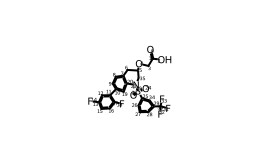 O=C(O)COC1Cc2ccc(-c3cc(F)ccc3F)cc2N(S(=O)(=O)c2cccc(C(F)(F)F)c2)C1